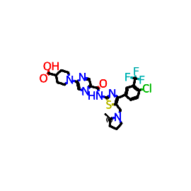 C[C@@H]1CCCN1Cc1sc(NC(=O)c2cnc(N3CCC(C(=O)O)CC3)cn2)nc1-c1ccc(Cl)c(C(F)(F)F)c1